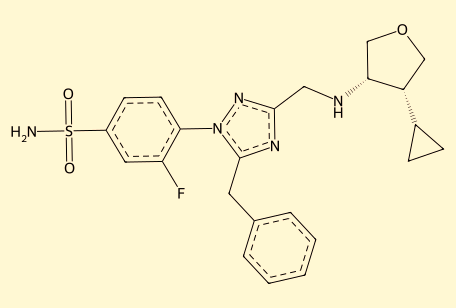 NS(=O)(=O)c1ccc(-n2nc(CN[C@@H]3COC[C@@H]3C3CC3)nc2Cc2ccccc2)c(F)c1